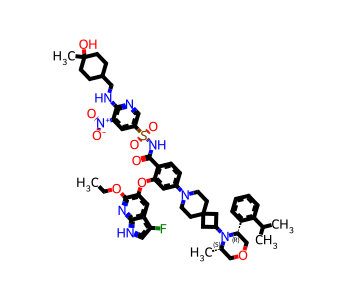 CCOc1nc2[nH]cc(F)c2cc1Oc1cc(N2CCC3(CC2)CC(N2[C@@H](C)COC[C@H]2c2ccccc2C(C)C)C3)ccc1C(=O)NS(=O)(=O)c1cnc(NCC2CCC(C)(O)CC2)c([N+](=O)[O-])c1